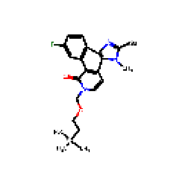 Cn1c(C(C)(C)C)nc2c3ccc(F)cc3c3c(=O)n(COCC[Si](C)(C)C)ccc3c21